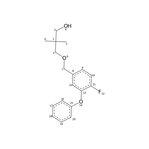 CC(C)(CO)COCc1ccc(F)c(Oc2ccccc2)c1